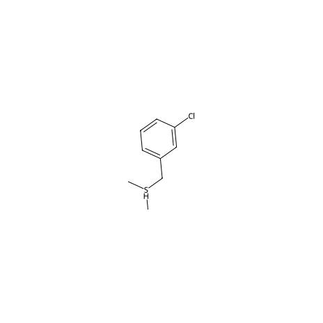 C[SH](C)Cc1cccc(Cl)c1